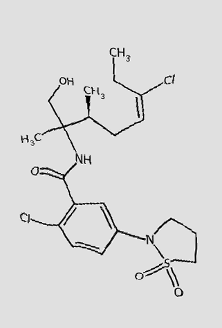 CC/C(Cl)=C\C[C@H](C)C(C)(CO)NC(=O)c1cc(N2CCCS2(=O)=O)ccc1Cl